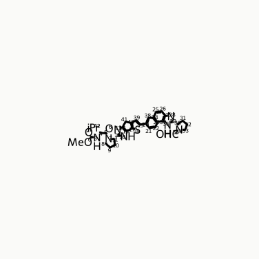 COC(=O)N[C@H](C(=O)N1CCC[C@H]1c1nc2c([nH]1)-c1sc(-c3ccc4c(ccc5nc([C@@H]6CCCN6C=O)[nH]c54)c3)cc1C2)C(C)C